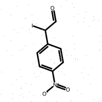 O=CC(I)c1ccc([N+](=O)[O-])cc1